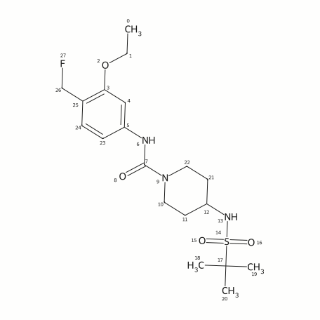 CCOc1cc(NC(=O)N2CCC(NS(=O)(=O)C(C)(C)C)CC2)ccc1CF